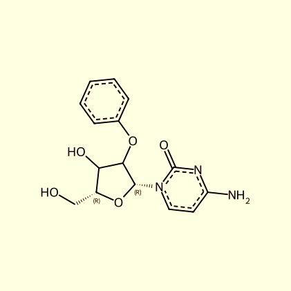 Nc1ccn([C@@H]2O[C@H](CO)C(O)C2Oc2ccccc2)c(=O)n1